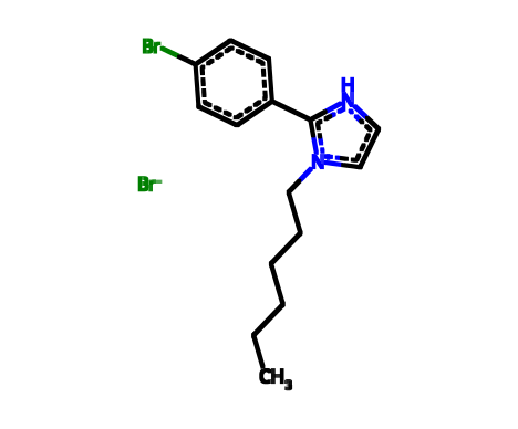 CCCCCC[n+]1cc[nH]c1-c1ccc(Br)cc1.[Br-]